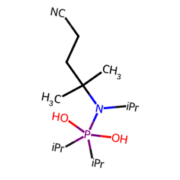 CC(C)N(C(C)(C)CCC#N)P(O)(O)(C(C)C)C(C)C